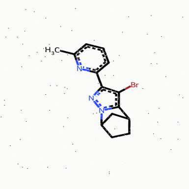 Cc1cccc(-c2nn3c(c2Br)C2CCC3C2)n1